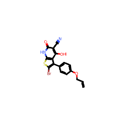 C=CCOc1ccc(-c2c(Br)sc3[nH]c(=O)c(C#N)c(O)c23)cc1